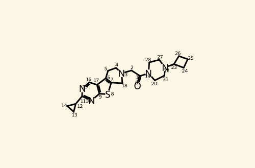 O=C(CN1CCc2c(sc3nc(C4CC4)ncc23)C1)N1CCN(C2CCC2)CC1